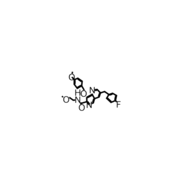 COCCNC(=O)c1ncc2cc(Cc3ccc(F)cc3)cnc2c1OCc1ccc(OC)cc1